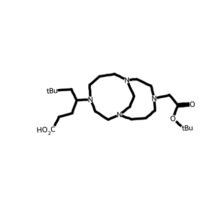 CC(C)(C)CC(CCC(=O)O)N1CCCN2CCN(CCCN(CC(=O)OC(C)(C)C)CC2)CC1